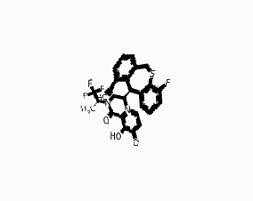 C#Cc1cccc2c1[C@H](C1CN([C@H](C)C(F)(F)F)C(=O)c3c(O)c(=O)ccn31)c1cccc(F)c1SC2